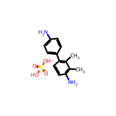 Cc1c(N)ccc(-c2ccc(N)cc2)c1C.O=S(=O)(O)O